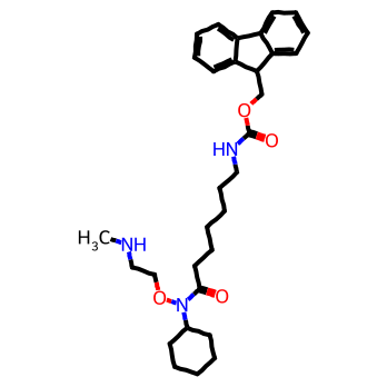 CNCCON(C(=O)CCCCCCNC(=O)OCC1c2ccccc2-c2ccccc21)C1CCCCC1